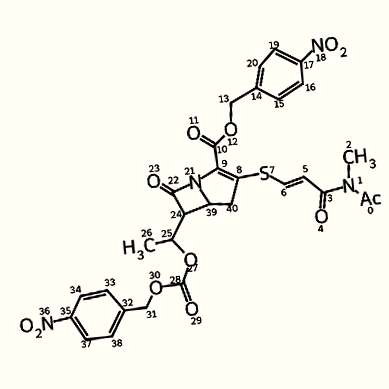 CC(=O)N(C)C(=O)C=CSC1=C(C(=O)OCc2ccc([N+](=O)[O-])cc2)N2C(=O)C(C(C)OC(=O)OCc3ccc([N+](=O)[O-])cc3)C2C1